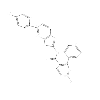 Cc1ccc(C(=O)Nc2nc3ncc(-c4ccc(C#N)cc4)nc3s2)c(-c2ccccc2)n1